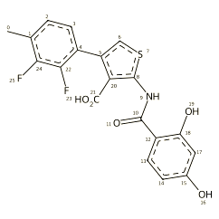 Cc1ccc(-c2csc(NC(=O)c3ccc(O)cc3O)c2C(=O)O)c(F)c1F